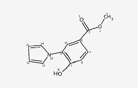 COC(=O)c1ccc(O)c(-n2cccc2)c1